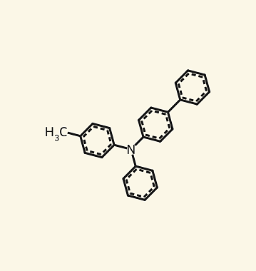 Cc1ccc(N(c2ccccc2)c2ccc(-c3ccccc3)cc2)cc1